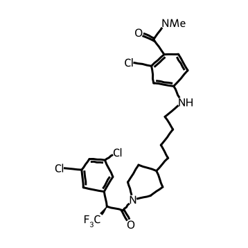 CNC(=O)c1ccc(NCCCCC2CCN(C(=O)[C@H](c3cc(Cl)cc(Cl)c3)C(F)(F)F)CC2)cc1Cl